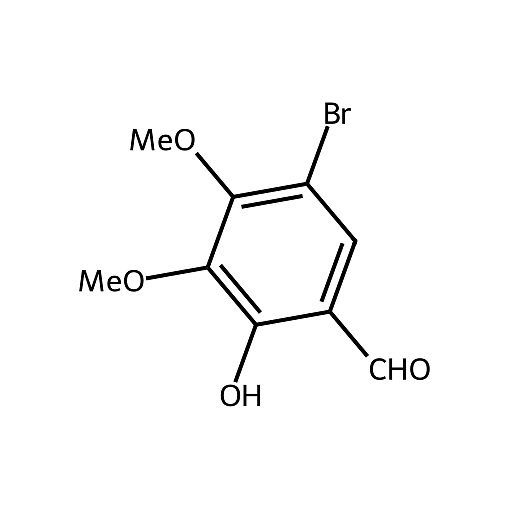 COc1c(Br)cc(C=O)c(O)c1OC